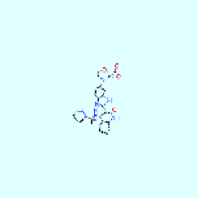 COC(=O)[C@@H]1CN(c2ccc3nc(-c4c(N[C@@H](C)c5ccccn5)c5ccccc5[nH]c4=O)[nH]c3c2)CCO1